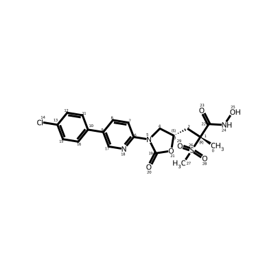 C[C@@](C[C@H]1CN(c2ccc(-c3ccc(Cl)cc3)cn2)C(=O)O1)(C(=O)NO)S(C)(=O)=O